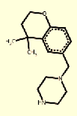 CC1(C)CCOc2ccc(CN3CCNCC3)cc21